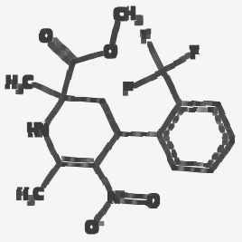 COC(=O)C1(C)CC(c2ccccc2C(F)(F)F)C([N+](=O)[O-])=C(C)N1